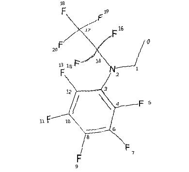 CCN(c1c(F)c(F)c(F)c(F)c1F)C(F)(F)C(F)(F)F